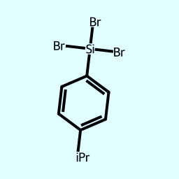 CC(C)c1ccc([Si](Br)(Br)Br)cc1